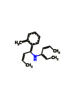 C=c1cccc/c1=C(/C=C\C)NC(/C=C\C)=C/C